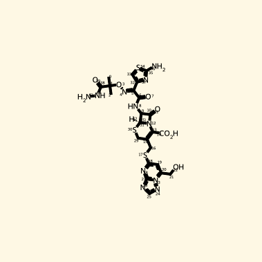 CC(C)(ON=C(C(=O)NC1C(=O)N2C(C(=O)O)=C(CSc3cc(CO)n4ncnc4n3)CS[C@@H]12)c1csc(N)n1)C(=O)NN